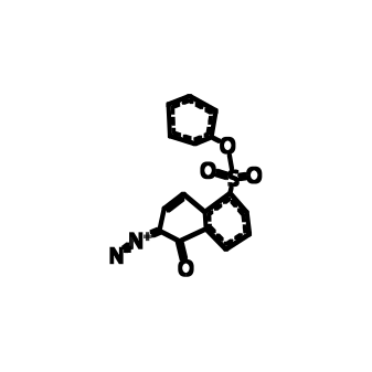 [N-]=[N+]=C1C=Cc2c(cccc2S(=O)(=O)Oc2ccccc2)C1=O